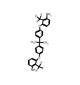 CC(C)(c1ccc(Oc2cccc(N)c2C(F)(F)F)cc1)c1ccc(Oc2cccc(N)c2C(F)(F)F)cc1